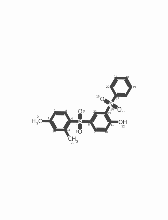 Cc1ccc(S(=O)(=O)c2ccc(O)c(S(=O)(=O)c3ccccc3)c2)c(C)c1